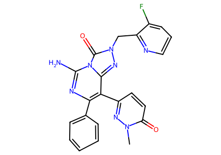 Cn1nc(-c2c(-c3ccccc3)nc(N)n3c(=O)n(Cc4ncccc4F)nc23)ccc1=O